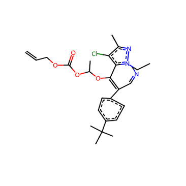 C=CCOC(=O)OC(C)O/C(=C(/C=N\C)c1ccc(C(C)(C)C)cc1)c1c(Cl)c(C)nn1CC